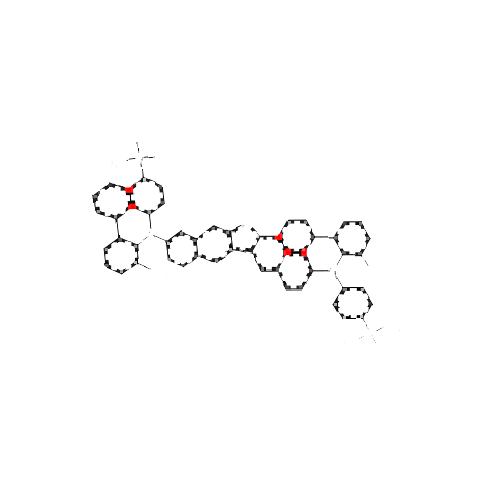 Cc1cccc(-c2ccccc2)c1N(c1ccc([Si](C)(C)C)cc1)c1ccc2cc3c(cc2c1)oc1cc2cc(N(c4ccc([Si](C)(C)C)cc4)c4c(C)cccc4-c4ccccc4)ccc2cc13